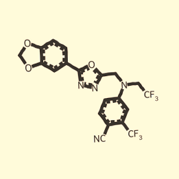 N#Cc1ccc(N(Cc2nnc(-c3ccc4c(c3)OCO4)o2)CC(F)(F)F)cc1C(F)(F)F